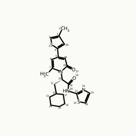 Cc1csc(-c2cc(C)n([C@@H](CC3CCCCC3)C(=O)Nc3nccs3)c(=O)c2)c1